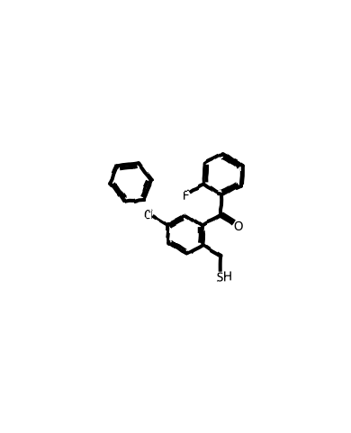 O=C(c1ccccc1F)c1cc(Cl)ccc1CS.c1ccccc1